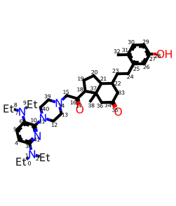 CCN(CC)c1ccc(N(CC)CC)c(N2CCN(CC(=O)C3CCC4C(CCc5cc(O)ccc5C)CC(=O)CC34C)CC2)n1